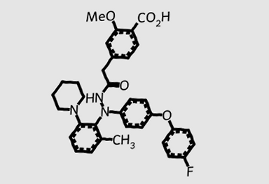 COc1cc(CC(=O)NN(c2ccc(Oc3ccc(F)cc3)cc2)c2c(C)cccc2N2CCCCC2)ccc1C(=O)O